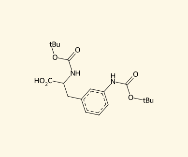 CC(C)(C)OC(=O)Nc1cccc(CC(NC(=O)OC(C)(C)C)C(=O)O)c1